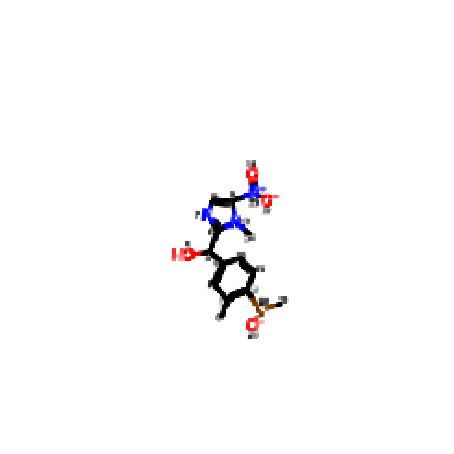 Cc1cc(C(O)c2ncc([N+](=O)[O-])n2C)ccc1[S+](C)[O-]